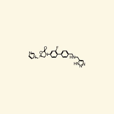 O=C1O[C@@H](Cn2ccnc2)CN1c1ccc(-c2ccc(CNCc3cnn[nH]3)cc2)c(F)c1